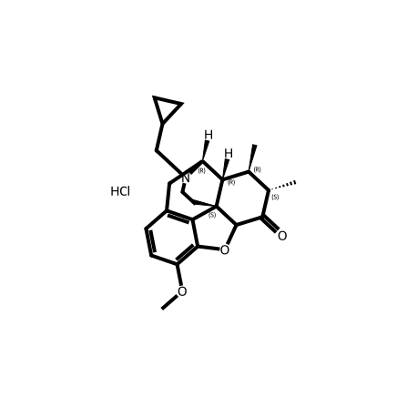 COc1ccc2c3c1OC1C(=O)[C@@H](C)[C@H](C)[C@H]4[C@@H](C2)N(CC2CC2)CC[C@]314.Cl